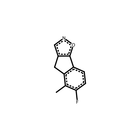 Cc1c(F)ccc2c1Cc1cnoc1-2